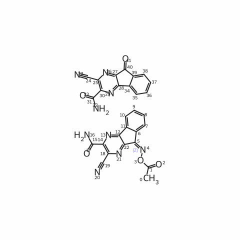 CC(=O)O/N=C1/c2ccccc2-c2nc(C(N)=O)c(C#N)nc21.N#Cc1nc2c(nc1C(N)=O)-c1ccccc1C2=O